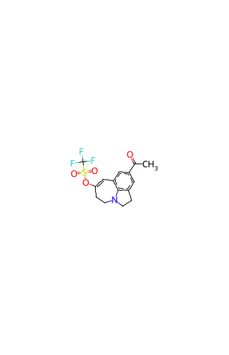 CC(=O)c1cc2c3c(c1)CCN3CCC(OS(=O)(=O)C(F)(F)F)=C2